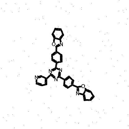 c1cncc(-c2nc(-c3ccc(-c4nc5ccccc5o4)cc3)nc(-c3ccc(-c4nc5ccccc5o4)cc3)n2)c1